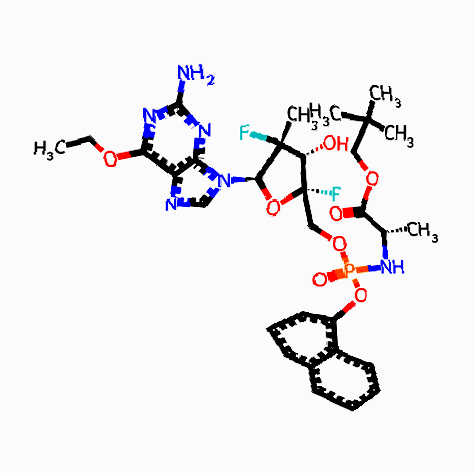 CCOc1nc(N)nc2c1ncn2[C@@H]1O[C@](F)(COP(=O)(N[C@@H](C)C(=O)OCC(C)(C)C)Oc2cccc3ccccc23)[C@@H](O)[C@@]1(C)F